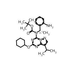 CC(C)c1cnn2c(N(C(=O)OC(C)(C)C)[C@@H](C)c3ccccc3N)nc(OC3CCCCC3)nc12